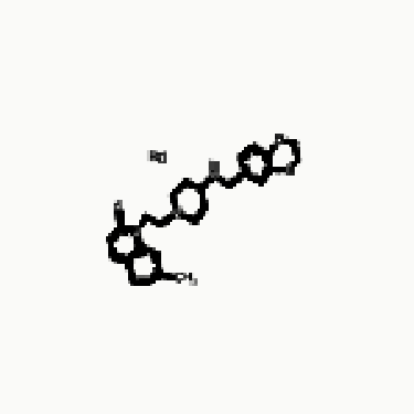 Cc1ccc2ccc(=O)n(CCN3CCC(NCc4ccc5c(c4)OCCO5)CC3)c2c1.Cl